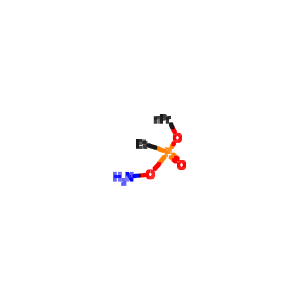 CCCOP(=O)(CC)ON